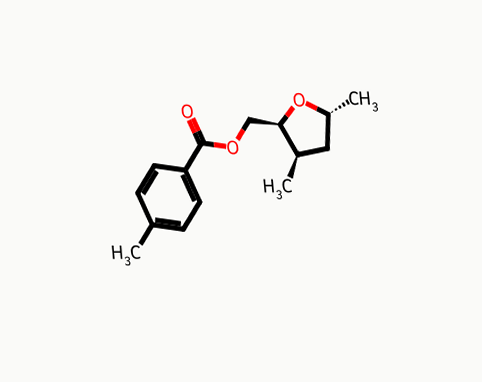 Cc1ccc(C(=O)OC[C@H]2O[C@H](C)C[C@H]2C)cc1